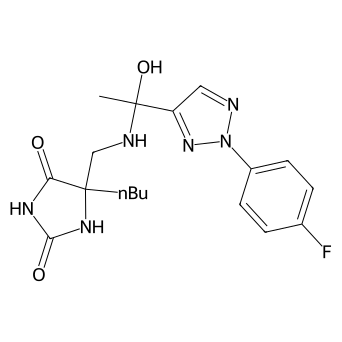 CCCCC1(CNC(C)(O)c2cnn(-c3ccc(F)cc3)n2)NC(=O)NC1=O